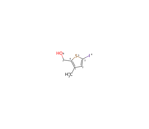 Cc1cc(I)sc1CO